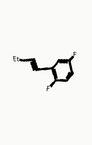 CC/C=C/c1cc(F)ccc1F